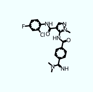 CN(C)C(=N)c1ccc(C(=O)Nc2c(C(=O)Nc3ccc(F)cc3Cl)cnn2C)cc1